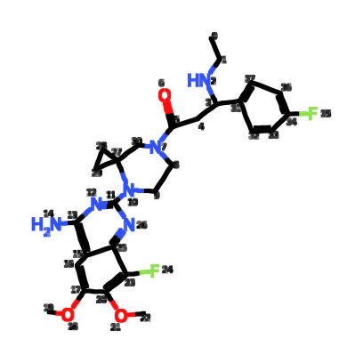 CCNC(CC(=O)N1CCN(c2nc(N)c3cc(OC)c(OC)c(F)c3n2)C2(CC2)C1)c1ccc(F)cc1